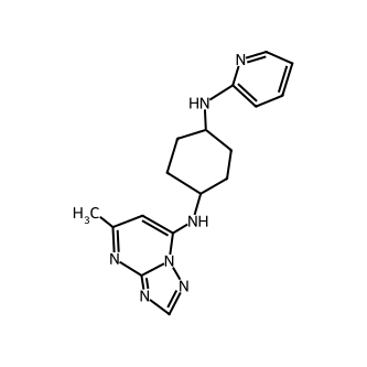 Cc1cc(NC2CCC(Nc3ccccn3)CC2)n2ncnc2n1